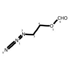 [N-]=[N+]=NCCOC=O